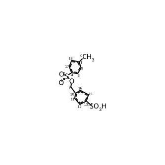 Cc1ccc(S(=O)(=O)OCc2ccc(S(=O)(=O)O)cc2)cc1